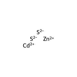 [Cd+2].[S-2].[S-2].[Zn+2]